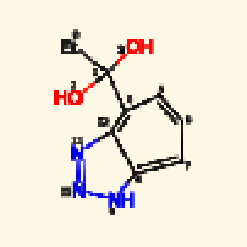 CCC(O)(O)c1cccc2[nH]nnc12